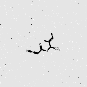 CC=C(C)C(OC(=O)C=[N+]=[N-])C(Cl)(Cl)Cl